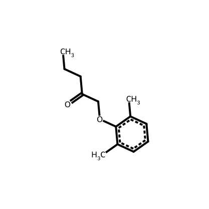 CCCC(=O)COc1c(C)cccc1C